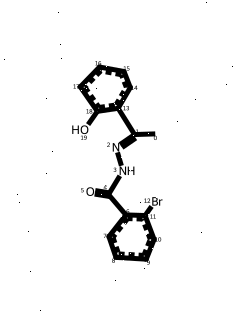 C/C(=N\NC(=O)c1ccccc1Br)c1ccccc1O